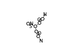 N#Cc1ccc2c(c1)oc1cc(-c3cc(-c4ccc5c(c4)oc4cc(C#N)ccc45)cc(-c4nc5ccccc5s4)c3)ccc12